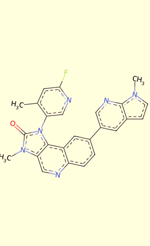 Cc1cc(F)ncc1-n1c(=O)n(C)c2cnc3ccc(-c4cnc5c(ccn5C)c4)cc3c21